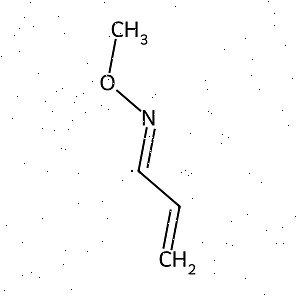 C=C/[C]=N/OC